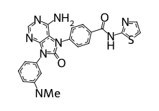 CNc1cccc(-n2c(=O)n(-c3ccc(C(=O)Nc4nccs4)cc3)c3c(N)ncnc32)c1